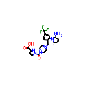 C[C@H]1CC[C@H](N)N1c1cc(C(F)(F)F)ccc1CN1CCN(C(=O)n2ccc(C(=O)O)n2)CC1